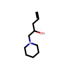 C=CCC(O)CN1CCCCC1